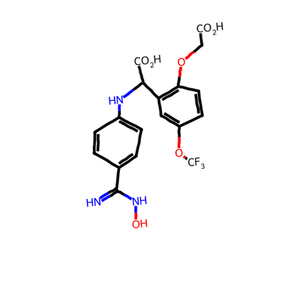 N=C(NO)c1ccc(NC(C(=O)O)c2cc(OC(F)(F)F)ccc2OCC(=O)O)cc1